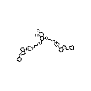 O=C1CCc2c(cc(OCCCCN3CCN(c4cccc5c4ccn5Cc4ccccc4)CC3)cc2OCCCCN2CCN(c3cccc4c3ccn4Cc3ccccc3)CC2)N1